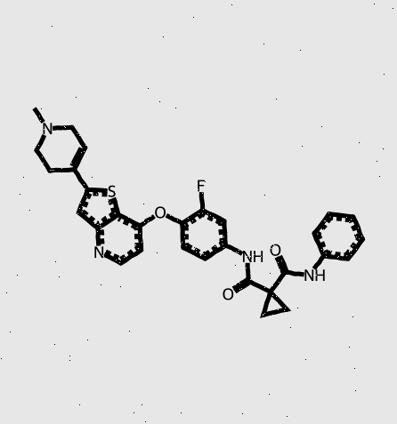 CN1CC=C(c2cc3nccc(Oc4ccc(NC(=O)C5(C(=O)Nc6ccccc6)CC5)cc4F)c3s2)CC1